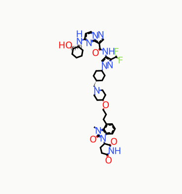 Cn1c(=O)n(C2CCC(=O)NC2=O)c2cccc(CCCOC3CCN(C[C@H]4CC[C@H](n5cc(NC(=O)c6cnn7ccc(N[C@@H]8CCCC[C@@H]8O)nc67)c(C(F)F)n5)CC4)CC3)c21